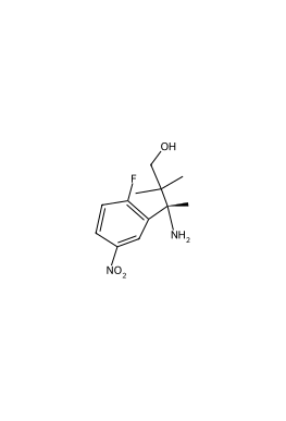 CC(C)(CO)[C@](C)(N)c1cc([N+](=O)[O-])ccc1F